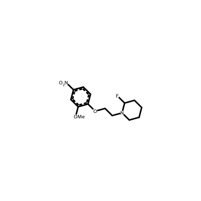 COc1cc([N+](=O)[O-])ccc1OCCN1CCCCC1F